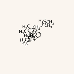 CC1=C(C)C(Cl)([Si](C)(CCCCCCC(C)(C)C)C2(Cl)C(C[Si](C)(C)C)=Cc3ccccc32)C(C)=C1C